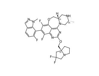 C[C@@H]1CN2c3nc(OC[C@@]45CCCN4CC(F)(F)C5)nc4c(F)c(-c5c(F)ccc6cnn(C)c56)c(F)c(c34)OC[C@@H]2CN1